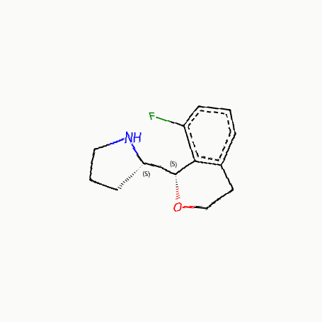 Fc1cccc2c1[C@@H]([C@@H]1CCCN1)OCC2